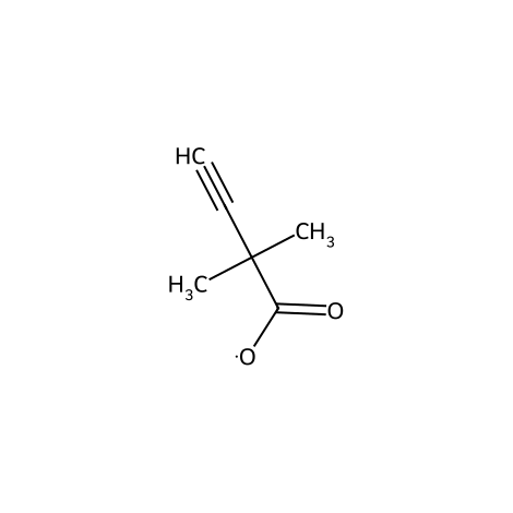 C#CC(C)(C)C([O])=O